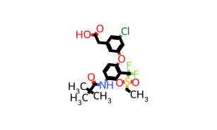 CCS(=O)(=O)C(F)(F)c1cc(NC(=O)C(C)(C)C)ccc1Oc1cc(Cl)cc(CC(=O)O)c1